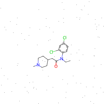 CCN(C(=O)CC1CCN(C)CC1)c1ccc(Cl)cc1Cl